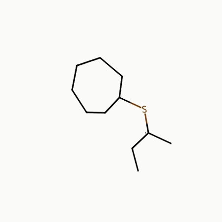 CC[C](C)SC1CCCCCC1